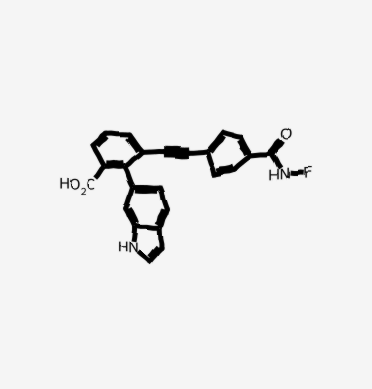 O=C(NF)c1ccc(C#Cc2cccc(C(=O)O)c2-c2ccc3cc[nH]c3c2)cc1